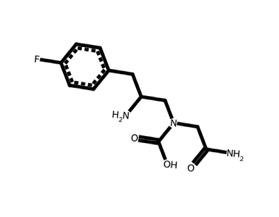 NC(=O)CN(CC(N)Cc1ccc(F)cc1)C(=O)O